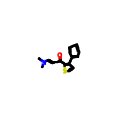 CN(C)C=CC(=O)c1sccc1-c1ccccc1